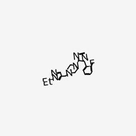 CCn1cc(CN2CCN(c3nccnc3-c3ccccc3F)CC2)cn1